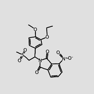 CCOc1cc(C(CS(C)(=O)=O)N2C(=O)c3cccc([N+](=O)[O-])c3C2=O)ccc1OC